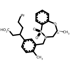 Cc1ccc(C(CCC(C)C)CC(=O)O)cc1CN1C[C@@H](C)Oc2ccccc2S1(=O)=O